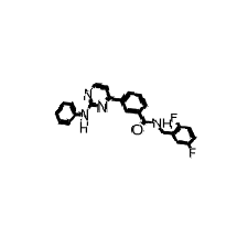 O=C(NCc1cc(F)ccc1F)c1cccc(-c2ccnc(Nc3ccccc3)n2)c1